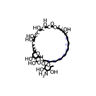 CC1OC(O[C@H]2/C=C/C=C/C=C/C=C/C=C/C=C/C=C/[C@H](C)[C@@H](O)[C@@H](C)[C@H](C)OC(=O)C[C@H](O)C[C@H](O)CC[C@@H](O)[C@H](O)CCC[C@@H]3C[C@H](O)[C@@H](C(=O)O)[C@H](C2)O3)C(O)C(N)C1O